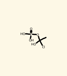 CC(O)(Cl)OP(=O)(O)O